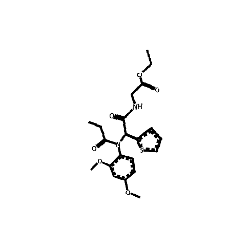 CCOC(=O)CNC(=O)C(c1cccs1)N(C(=O)CC)c1ccc(OC)cc1OC